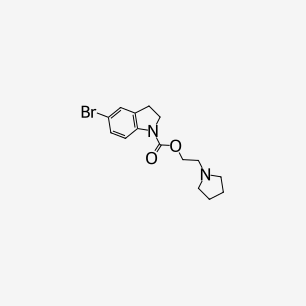 O=C(OCCN1CCCC1)N1CCc2cc(Br)ccc21